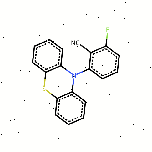 N#Cc1c(F)cccc1N1c2ccccc2Sc2ccccc21